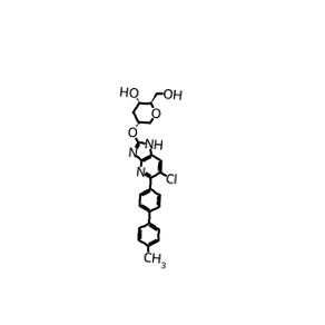 Cc1ccc(-c2ccc(-c3nc4nc(O[C@H]5CO[C@H](CO)[C@@H](O)C5)[nH]c4cc3Cl)cc2)cc1